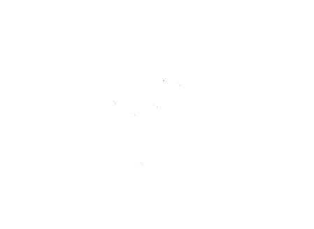 CC(=O)NCCOc1nc(N2CCOCC2)cc(-n2ccc(-c3cccc(C)c3)n2)n1